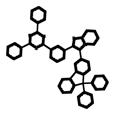 c1ccc(-c2nc(-c3ccccc3)nc(-c3cccc(-c4nc5ccccn5c4-c4ccc5c(c4)-c4ccccc4C5(c4ccccc4)c4ccccc4)c3)n2)cc1